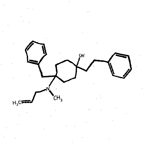 C=CCN(C)C1(Cc2ccccc2)CCC(O)(CCc2ccccc2)CC1